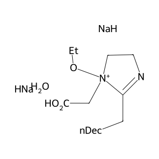 CCCCCCCCCCCC1=NCC[N+]1(CC(=O)O)OCC.O.[NaH].[NaH]